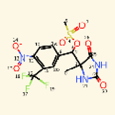 CC1(C(OS(C)(=O)=O)c2ccc([N+](=O)[O-])c(C(F)(F)F)c2)NC(=O)NC1=O